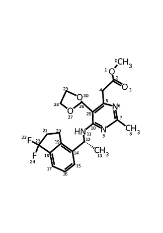 COC(=O)Cc1nc(C)nc(N[C@H](C)c2cccc3c2CCC3(F)F)c1C1OCCO1